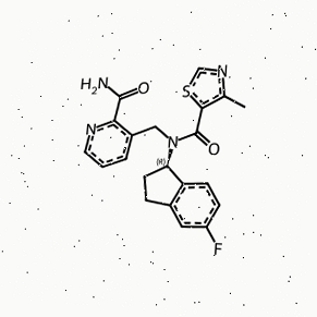 Cc1ncsc1C(=O)N(Cc1cccnc1C(N)=O)[C@@H]1CCc2cc(F)ccc21